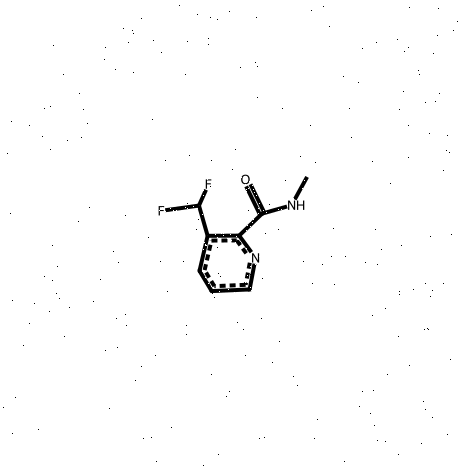 CNC(=O)c1ncccc1C(F)F